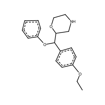 CCOc1ccc(C(Oc2ccccc2)C2CNCCO2)cc1